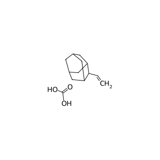 C=CC1C2CC3CC(C2)CC1C3.O=C(O)O